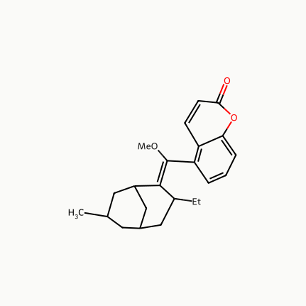 CCC1CC2CC(C)CC(C2)/C1=C(\OC)c1cccc2oc(=O)ccc12